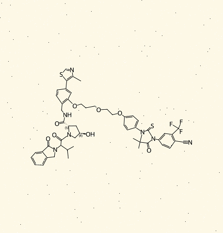 Cc1ncsc1-c1ccc(CNC(=O)[C@@H]2C[C@@H](O)CN2C(=O)C(C(C)C)N2Cc3ccccc3C2=O)c(OCCCOCCOc2ccc(N3C(=S)N(c4ccc(C#N)c(C(F)(F)F)c4)C(=O)C3(C)C)cc2)c1